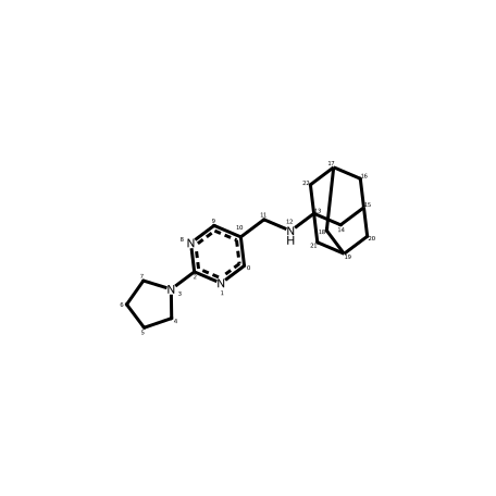 c1nc(N2CCCC2)ncc1CNC12CC3CC(CC(C3)C1)C2